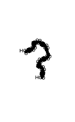 O=C(CCCCC(=O)OC(=O)c1ccc(C(=O)OC(=O)c2cccc(C(=O)OC(=O)c3ccc(C(=O)O)cc3)c2)cc1)OC(=O)c1ccc(C(=O)OC(=O)c2cccc(C(=O)OC(=O)c3ccc(C(=O)O)cc3)c2)cc1